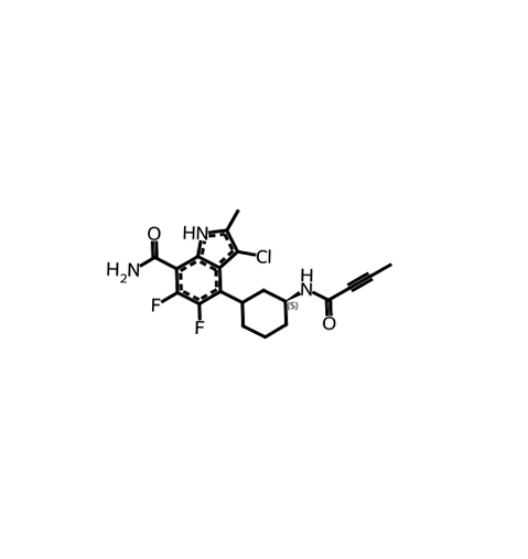 CC#CC(=O)N[C@H]1CCCC(c2c(F)c(F)c(C(N)=O)c3[nH]c(C)c(Cl)c23)C1